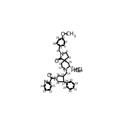 COc1ccc(CN2CCC3(CCN(CC4CN(C(=O)c5ccccn5)CC4c4ccccc4)CC3)C2=O)cc1.Cl.Cl